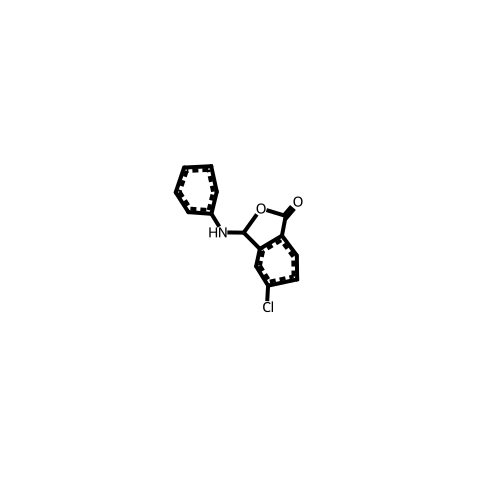 O=C1OC(Nc2ccccc2)c2cc(Cl)ccc21